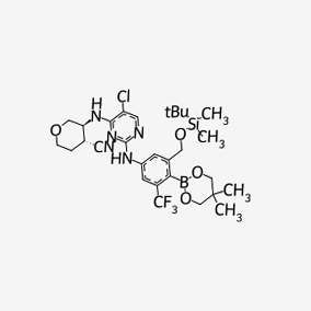 CC1(C)COB(c2c(CO[Si](C)(C)C(C)(C)C)cc(Nc3ncc(Cl)c(N[C@@H]4COCC[C@H]4C#N)n3)cc2C(F)(F)F)OC1